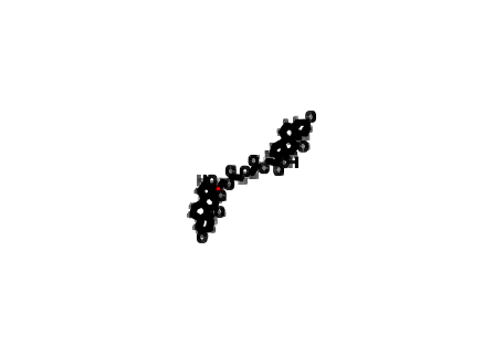 CC12C=CC(=O)C=C1CCC1C2C(=O)CC2(C)C1CCC2(O)C(=O)COC(=O)COCC(=O)OCC(=O)C1(O)CCC2C3CCC4=CC(=O)C=CC4(C)C3C(=O)CC21C